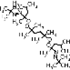 CC(C)CC(C)(N=NC(C)(C)C)OOC(C)(C)CCC(C)(C)OOC(C)(CC(C)C)N=NC(C)(C)C